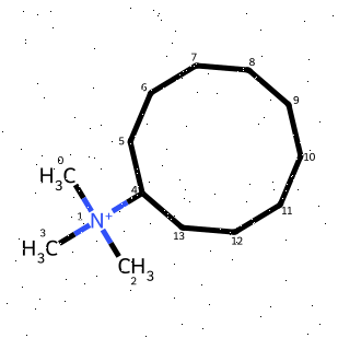 C[N+](C)(C)C1CCCCCCCCC1